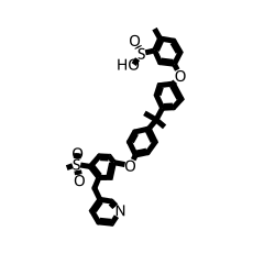 Cc1ccc(Oc2ccc(C(C)(C)c3ccc(Oc4ccc(S(C)(=O)=O)c(Cc5cccnc5)c4)cc3)cc2)cc1S(=O)O